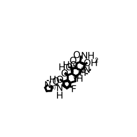 CN(C)[C@@H]1C(O)=C(C(N)=O)C(=O)[C@@]2(O)C(O)=C3C(=O)c4c(O)c(NC(=O)[C@@H]5CCCN5C)cc(F)c4C[C@H]3C[C@@H]12